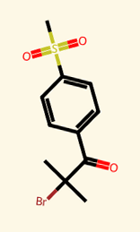 CC(C)(Br)C(=O)c1ccc(S(C)(=O)=O)cc1